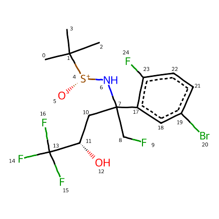 CC(C)(C)[S@@+]([O-])NC(CF)(C[C@H](O)C(F)(F)F)c1cc(Br)ccc1F